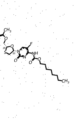 CCCCCCCCOC(=O)Nc1nc(=O)n([C@@H]2CS[C@H](COC(C)=O)O2)cc1F